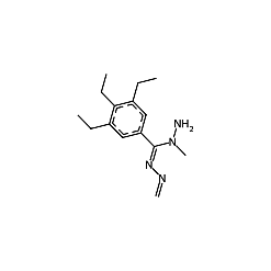 C=N/N=C(/c1cc(CC)c(CC)c(CC)c1)N(C)N